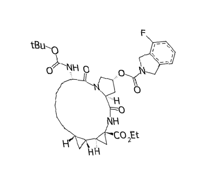 CCOC(=O)[C@@]12C[C@H]1[C@@H]1C[C@@H]1CCCCC[C@H](NC(=O)OC(C)(C)C)C(=O)N1C[C@H](OC(=O)N3Cc4cccc(F)c4C3)C[C@H]1C(=O)N2